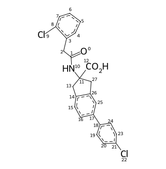 O=C(Cc1ccccc1Cl)NC1(C(=O)O)Cc2ccc(-c3ccc(Cl)cc3)cc2C1